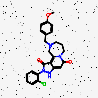 COc1ccc(CN2CCCn3c(c4c(=O)n(-c5ccccc5Cl)[nH]c4cc3=O)C2)cc1